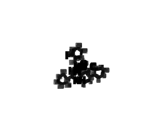 CC(C)C(Nc1ccc(-c2ccccc2C(=O)O)cc1NC(=O)Cc1ccccc1F)C1CCCCC1